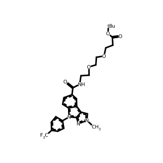 Cn1cc2c3cc(C(=O)NCCOCCOCCC(=O)OC(C)(C)C)ccc3n(-c3ccc(C(F)(F)F)cc3)c2n1